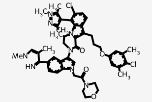 CN/C=C(/C)C(=N)c1ccc2c(c1)c(N1C[C@@H](C)n3c(c(CCCOc4cc(C)c(Cl)c(C)c4)c4ccc(Cl)c(-c5c(C)nn(C)c5C)c43)C1=O)cn2CC(=O)N1CCOCC1